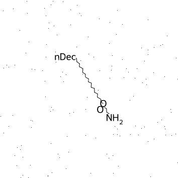 CCCCCCCCCCCCCCCCCCCCCCCCCCCCOC(=O)CCCN